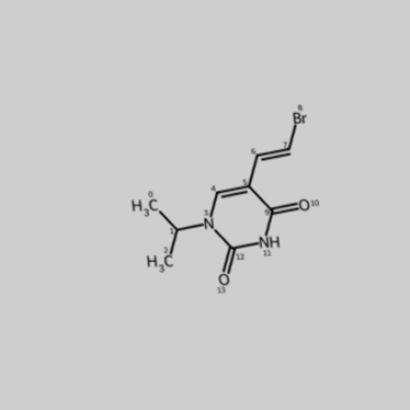 CC(C)n1cc(/C=C/Br)c(=O)[nH]c1=O